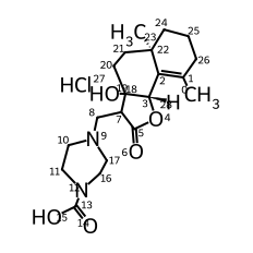 CC1=C2[C@@H]3OC(=O)C(CN4CCN(C(=O)O)CC4)C3(O)CC[C@@]2(C)CCC1.Cl